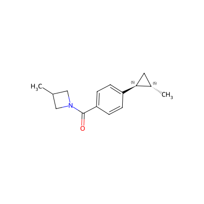 CC1CN(C(=O)c2ccc([C@H]3C[C@@H]3C)cc2)C1